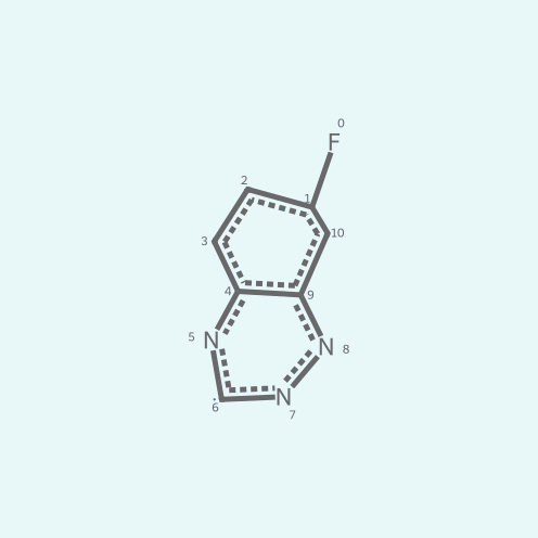 Fc1ccc2n[c]nnc2c1